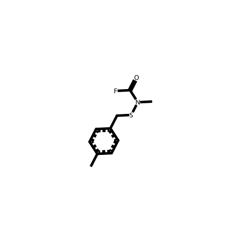 Cc1ccc(CSN(C)C(=O)F)cc1